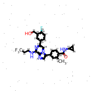 Cc1cc(-c2cnc3c(NCCC(F)(F)F)nc(-c4ccc(F)c(CO)c4)cn23)ccc1C(=O)NC1CC1